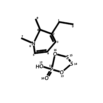 CCC1=CC=CN(C)C1C.O=P1(O)OSSO1